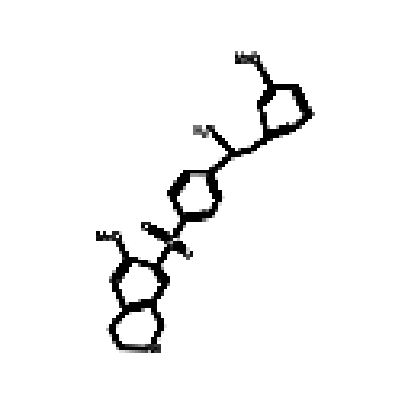 COc1cccc(CC(N)c2ccc(S(=O)(=O)c3cc4c(cc3OC)CCNC4)cc2)c1